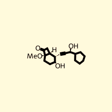 CO[C@@]12CC[C@H](O)[C@@H](C#C[C@@H](O)C3CCCCC3)[C@@H]1CC2=O